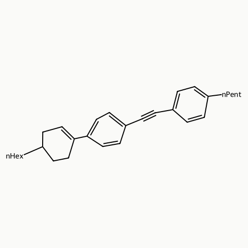 CCCCCCC1CC=C(c2ccc(C#Cc3ccc(CCCCC)cc3)cc2)CC1